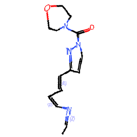 C\C=N/C=C\C=C\c1ccn(C(=O)N2CCOCC2)n1